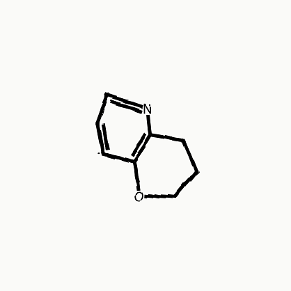 [c]1ccnc2c1OCCC2